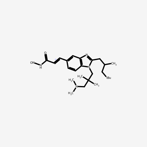 CC(Cc1nc2cc(/C=C/C(=O)NN=O)ccc2n1CC(C)(C)CN(C)C)CC(C)(C)C